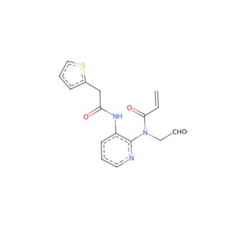 C=CC(=O)N(C[C]=O)c1ncccc1NC(=O)Cc1cccs1